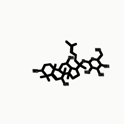 CC(C)=CCCC(C)(OC1OC(CO)C(O)C(O)C1O)C1CCC2(C)C1C(O)CC1C3(C)CCC(O)C(C)(C)C3=CC(O)C12C